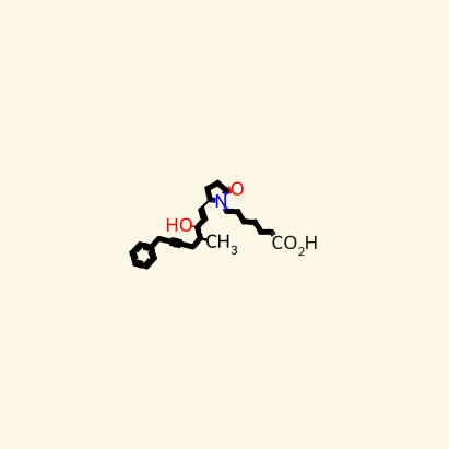 C[C@@H](CC#CCc1ccccc1)[C@H](O)C=C[C@H]1CCC(=O)N1CCCCCCC(=O)O